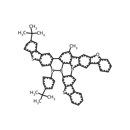 Cc1cc2c3c4c1c1cc5oc6ccccc6c5cc1n4-c1cc4c(cc1B3N(c1ccc(C(C)(C)C)cc1)c1cc3sc5ccc(C(C)(C)C)cc5c3cc1-2)sc1ccccc14